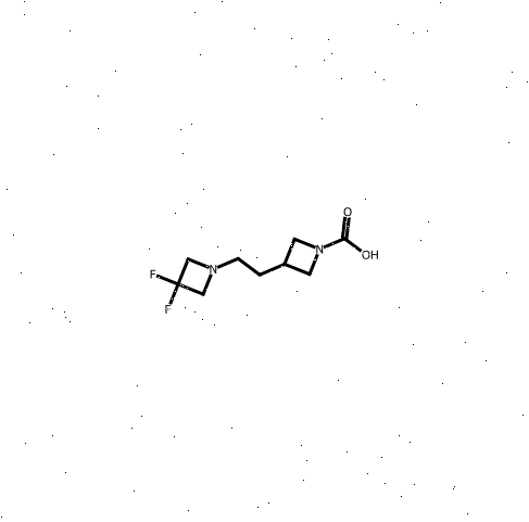 O=C(O)N1CC(CCN2CC(F)(F)C2)C1